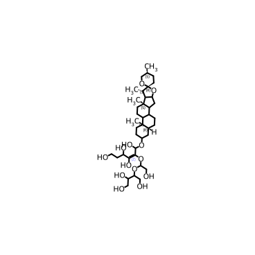 C[C@H]1CC[C@@]2(OC1)OC1CC3C4CC[C@@H]5CC(OC(O)/C(OC(CO)OC(CO)C(O)CO)=C(/O)C(O)CCO)CC[C@]5(C)C4CC[C@]3(C)C1[C@@H]2C